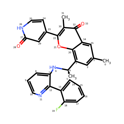 Cc1cc([C@@H](C)Nc2cccnc2-c2ccccc2F)c2oc(-c3cc[nH]c(=O)c3)c(C)c(=O)c2c1